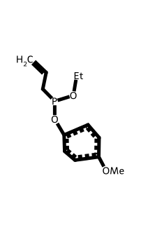 C=CCP(OCC)Oc1ccc(OC)cc1